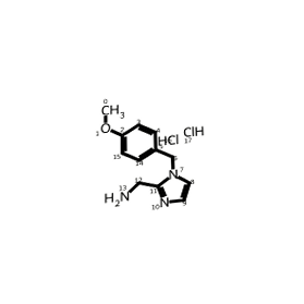 COc1ccc(Cn2ccnc2CN)cc1.Cl.Cl